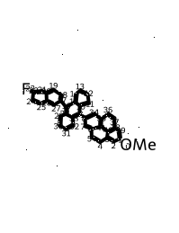 COc1cc2ccc3cc(-c4c5ccccc5c(-c5ccc6cc(F)ccc6c5)c5ccccc45)cc4ccc(c1)c2c34